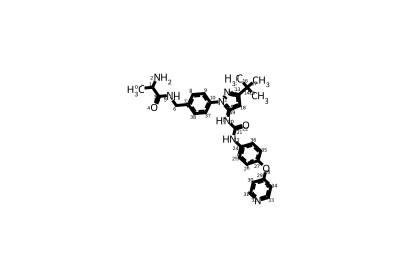 CC(N)C(=O)NCc1ccc(-n2nc(C(C)(C)C)cc2NC(=O)Nc2ccc(Oc3ccncc3)cc2)cc1